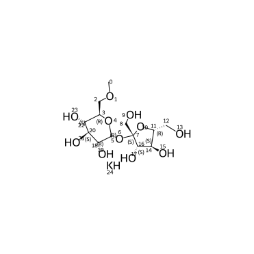 COC[C@H]1O[C@H](O[C@]2(CO)O[C@H](CO)[C@@H](O)[C@@H]2O)[C@H](O)[C@@H](O)[C@@H]1O.[KH]